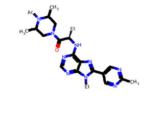 CC[C@@H](Nc1ncnc2c1nc(-c1cnc(C)nc1)n2CC)C(=O)N1CC(C)N(C(C)=O)C(C)C1